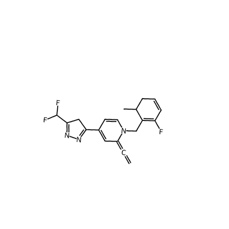 C=C=C1C=C(C2=NN=C(C(F)F)C2)C=CN1CC1=C(F)C=CCC1C